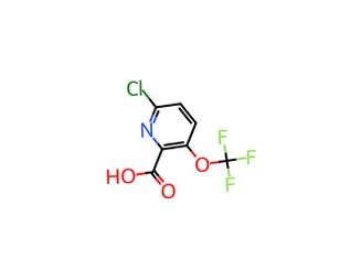 O=C(O)c1nc(Cl)ccc1OC(F)(F)F